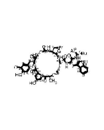 CCC(C)[C@H](NC(=O)[C@H](Cc1c[nH]c2ccccc12)NC(=O)[C@@H]1CSSC[C@H](C)C(=O)N2C[C@H](O)C[C@H]2C(=O)N[C@@H](Cc2ccc(O)c(Cl)c2)C(=O)NCC(=O)N[C@@H](CC(C)C)C(=O)N1)C(C)=O